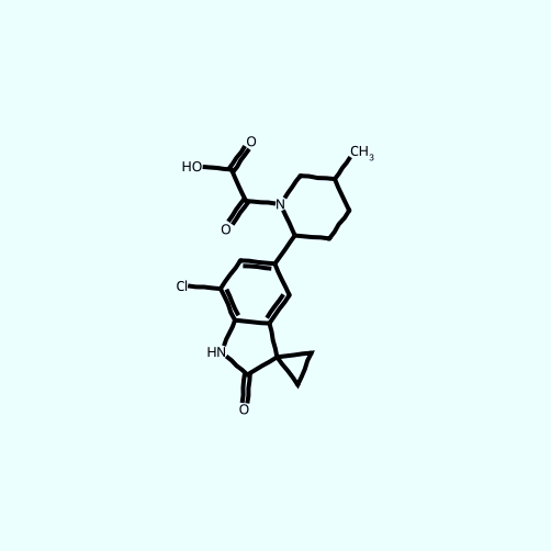 CC1CCC(c2cc(Cl)c3c(c2)C2(CC2)C(=O)N3)N(C(=O)C(=O)O)C1